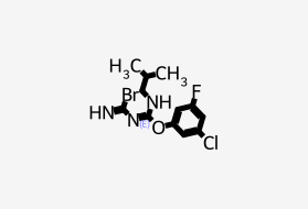 CC(C)CN/C(=N\C(=N)Br)Oc1cc(F)cc(Cl)c1